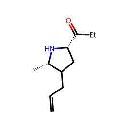 C=CCC1C[C@@H](C(=O)CC)N[C@H]1C